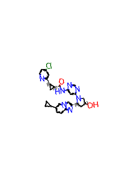 O=C(Nc1cc(N2C[C@@H](O)C[C@@H]2c2cn3cc(C4CC4)ccc3n2)ncn1)[C@@H]1C[C@H]1c1cc(Cl)ccn1